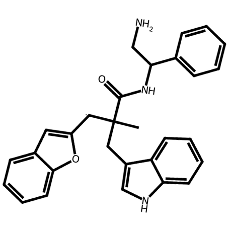 CC([CH]c1cc2ccccc2o1)(Cc1c[nH]c2ccccc12)C(=O)NC(CN)c1ccccc1